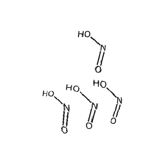 O=NO.O=NO.O=NO.O=NO